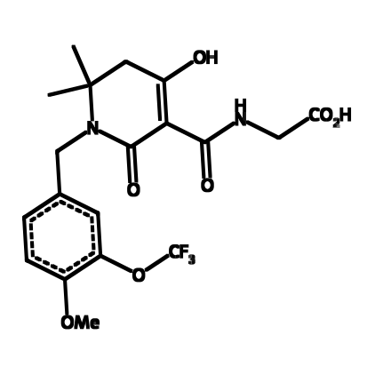 COc1ccc(CN2C(=O)C(C(=O)NCC(=O)O)=C(O)CC2(C)C)cc1OC(F)(F)F